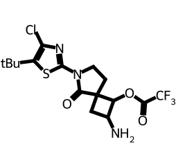 CC(C)(C)c1sc(N2CCC3(CC(N)C3OC(=O)C(F)(F)F)C2=O)nc1Cl